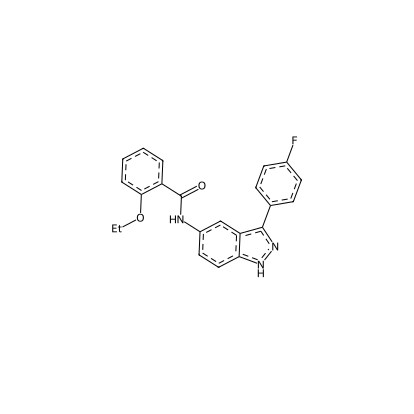 CCOc1ccccc1C(=O)Nc1ccc2[nH]nc(-c3ccc(F)cc3)c2c1